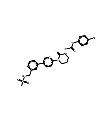 CS(=O)(=O)NCc1cccc(-c2ccc(N3CCC[C@@H](NC(=O)Nc4ccc(Cl)cc4)C3=O)nc2)c1